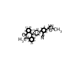 Cc1ncc(-c2ccc(N3CCN(C4c5ccccc5C(=O)N(C)c5ccccc54)CC3)c(C#N)c2)o1